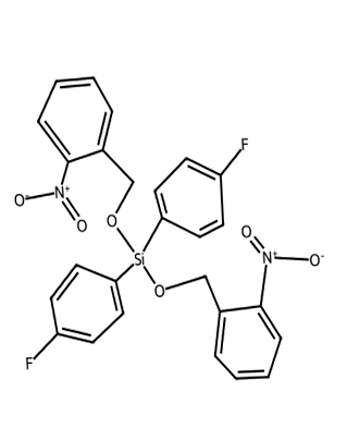 O=[N+]([O-])c1ccccc1CO[Si](OCc1ccccc1[N+](=O)[O-])(c1ccc(F)cc1)c1ccc(F)cc1